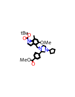 COC(=O)c1ccc(C2CN(C3CCCC3)CCN2Cc2c(OC)cc(C)c3c2ccn3C(=O)OC(C)(C)C)cc1